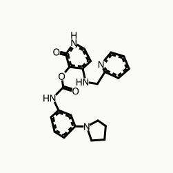 O=C(Nc1cccc(N2CCCC2)c1)Oc1c(NCc2ccccn2)cc[nH]c1=O